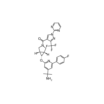 CC(C)(N)c1cc(O[C@@H]2[C@@H]3CN(C(=O)c4cn(-c5ncccn5)nc4C(F)(F)F)C[C@@H]32)nc(-c2ccc(F)cc2)c1